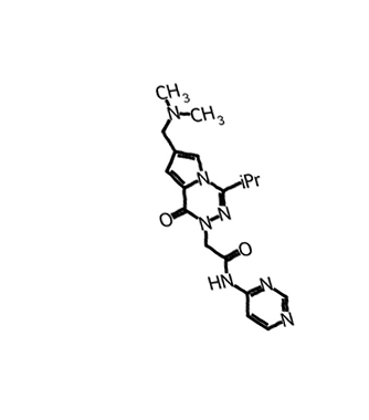 CC(C)c1nn(CC(=O)Nc2ccncn2)c(=O)c2cc(CN(C)C)cn12